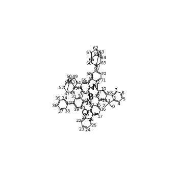 CC1(C)c2ccccc2-c2cc3c4c(c21)-c1ccc2c(oc5ccccc52)c1N(c1ccc(-c2ccccc2)cc1)B4c1cc(C24CC5CC(CC(C5)C2)C4)cc2c4cc(C56CC7CC(CC(C7)C5)C6)ccc4n-3c12